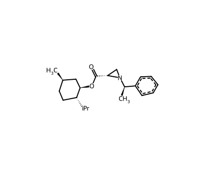 CC(C)[C@@H]1CC[C@@H](C)C[C@H]1OC(=O)[C@@H]1CN1[C@H](C)c1ccccc1